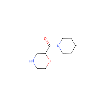 O=C(C1CNCCO1)N1CC[CH]CC1